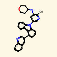 N#Cc1ncc(-n2c3ccccc3c3c(-c4cnc5ccccc5c4)cccc32)cc1NC1CCOCC1